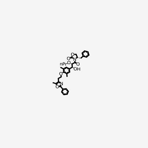 CCCO[C@H](C(=O)N1C(=O)OC[C@@H]1Cc1ccccc1)[C@H](O)c1cc(C)c(OCCc2nc(-c3ccccc3)oc2C)c(C)c1